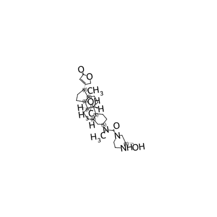 CN(C(=O)N1CCN[C@@H](CO)C1)[C@H]1CC[C@@]2(C)[C@H](CC[C@@H]3[C@@H]2CC[C@]2(C)[C@@H](C4=CC(=O)OC4)CC[C@]32O)C1